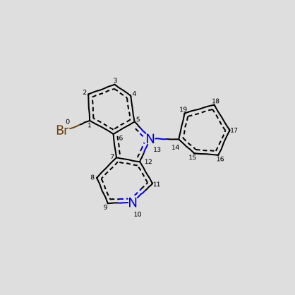 Brc1cccc2c1c1ccncc1n2-c1ccccc1